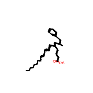 CCCCCCCCCCCCCC(CCCC(=O)O)CC(C)Cc1ccccc1